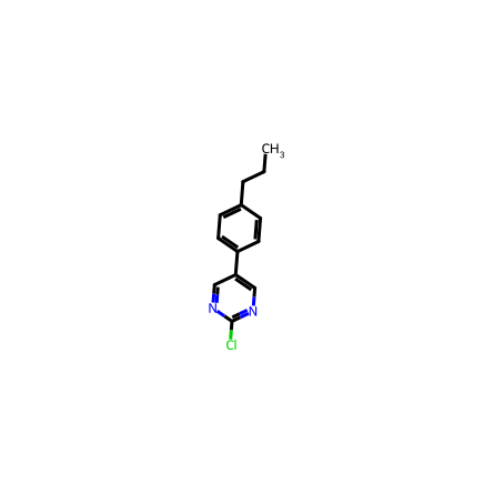 CCCc1ccc(-c2cnc(Cl)nc2)cc1